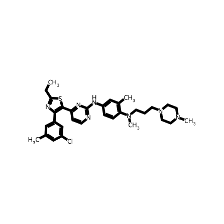 CCc1nc(-c2cc(C)cc(Cl)c2)c(-c2ccnc(Nc3ccc(N(C)CCCN4CCN(C)CC4)c(C)c3)n2)s1